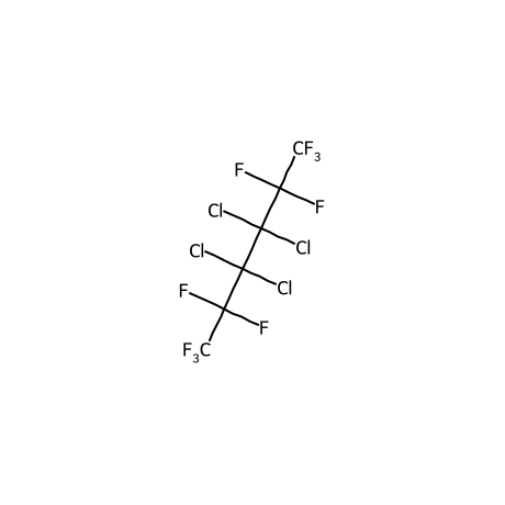 FC(F)(F)C(F)(F)C(Cl)(Cl)C(Cl)(Cl)C(F)(F)C(F)(F)F